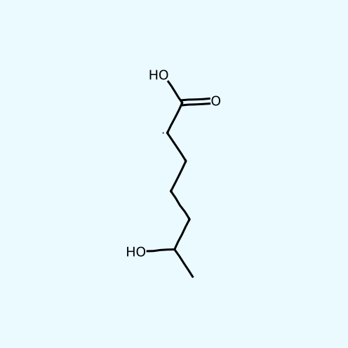 CC(O)CCC[CH]C(=O)O